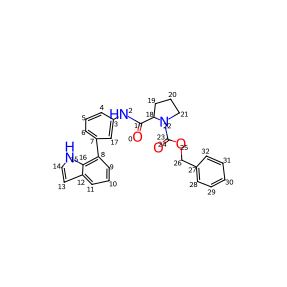 O=C(Nc1cccc(-c2cccc3cc[nH]c23)c1)C1CCCN1C(=O)OCc1ccccc1